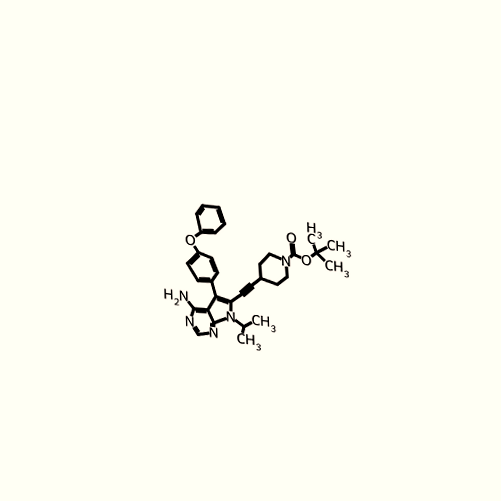 CC(C)n1c(C#CC2CCN(C(=O)OC(C)(C)C)CC2)c(-c2ccc(Oc3ccccc3)cc2)c2c(N)ncnc21